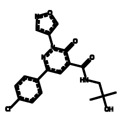 CC(C)(O)CNC(=O)c1cc(-c2ccc(Cl)cc2)nn(-c2cnoc2)c1=O